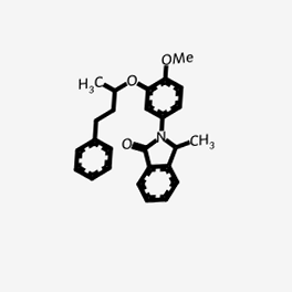 COc1ccc(N2C(=O)c3ccccc3C2C)cc1OC(C)CCc1ccccc1